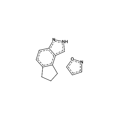 c1cc2n[nH]cc2c2c1CCC2.c1cnoc1